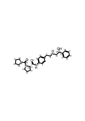 O=C(Nc1ccc(CCNC[C@H](O)c2ccccc2)cc1)[C@@H]1CCCN1C(=O)N1CCCC1